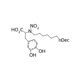 CCCCCCCCCCCCCCCCN(C(Cc1ccc(O)c(O)c1)C(=O)O)[N+](=O)[O-]